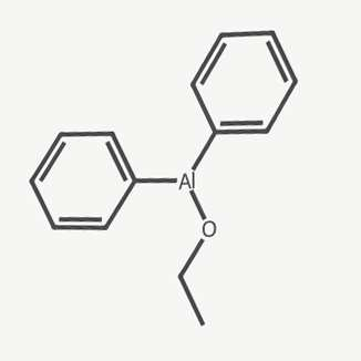 CC[O][Al]([c]1ccccc1)[c]1ccccc1